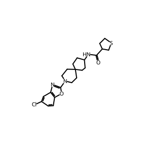 O=C(NC1CCC2(CC1)CCN(c1nc3cc(Cl)ccc3o1)CC2)C1CCSC1